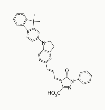 CC1(C)c2ccccc2-c2ccc(N3CCc4cc(/C=C/C=C5\C(=O)N(c6ccccc6)N=C5C(=O)O)ccc43)cc21